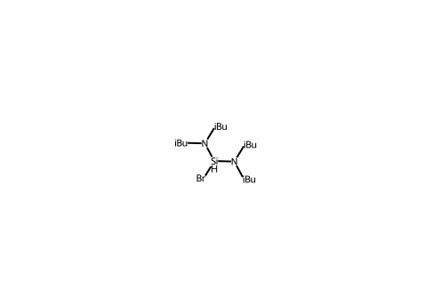 CCC(C)N(C(C)CC)[SiH](Br)N(C(C)CC)C(C)CC